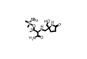 C[C@@H](O[Si](C)(C)C(C)(C)C)C(NCC1(CO)CCC(=O)N1)C(N)=O